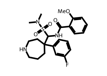 COc1ccccc1C(=O)NC(C1(c2cccc(F)c2)CCCNCC1)S(=O)(=O)N(C)C